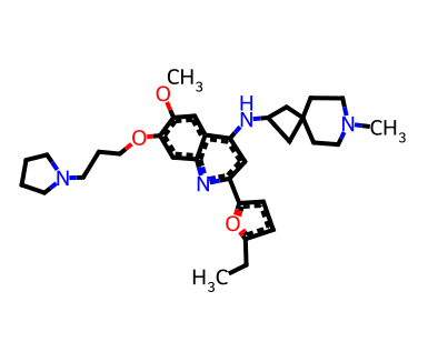 CCc1ccc(-c2cc(NC3CC4(CCN(C)CC4)C3)c3cc(OC)c(OCCCN4CCCC4)cc3n2)o1